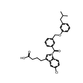 CC(C)Cc1cccc(OCc2cccc(C(=O)n3cc(CCCC(=O)O)c4cc(Cl)ccc43)c2)c1